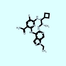 CCn1ncc2c(Nc3nc(N[C@H](C4CCC4)[C@H](C)N)c(F)cc3C(N)=O)cncc21